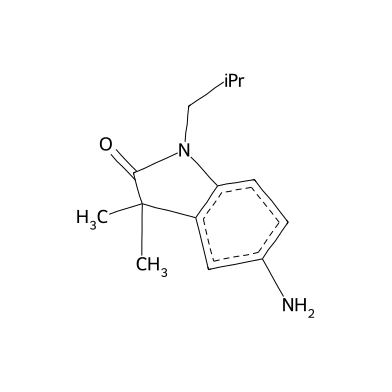 CC(C)CN1C(=O)C(C)(C)c2cc(N)ccc21